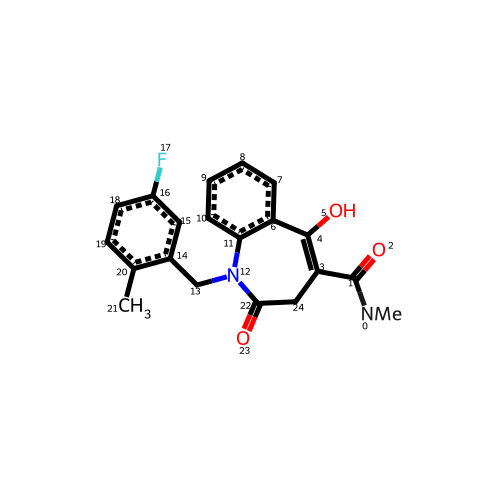 CNC(=O)C1=C(O)c2ccccc2N(Cc2cc(F)ccc2C)C(=O)C1